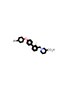 CC(C)C1CCC(Oc2ccc(-c3cccc(CN4CCCC(C(=O)O)C4)c3F)cc2)CC1